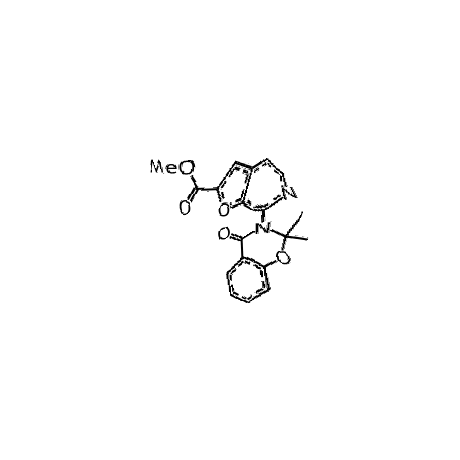 COC(=O)c1cc2ccnc(N3C(=O)c4ccccc4OC3(C)C)c2o1